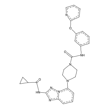 O=C(Nc1nc2cccc(N3CCN(C(=O)Nc4cccc(Oc5ccccn5)c4)CC3)n2n1)C1CC1